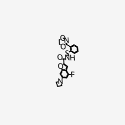 O=C(NSc1ccccc1C1=NOCCO1)c1cc2c(F)cc(N3CCC3)cc2o1